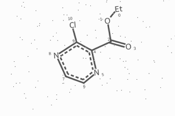 CCOC(=O)c1nccnc1Cl